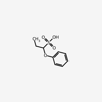 CCC(Oc1cc[c]cc1)S(=O)(=O)O